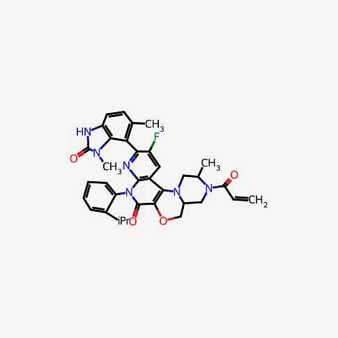 C=CC(=O)N1CC2COc3c(c4cc(F)c(-c5c(C)ccc6[nH]c(=O)n(C)c56)nc4n(-c4ccccc4C(C)C)c3=O)N2CC1C